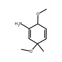 COC1C=CC(C)(OC)C=C1N